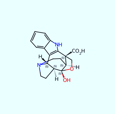 O=C(O)[C@@]12CO[C@@]3(O)[C@H]1CCN1CC[C@H]3[C@H]1c1c2[nH]c2ccccc12